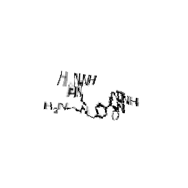 N=C(N)NCCCN(CCCN)Cc1ccc(-c2cn3cc[nH]c3nc2=O)cc1